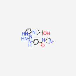 CN1CCC(N(C)C(=O)c2ccc(NC(=N)/N=c3\[nH]cccc3N3CCC(C(C)(C)O)CC3)cc2)CC1